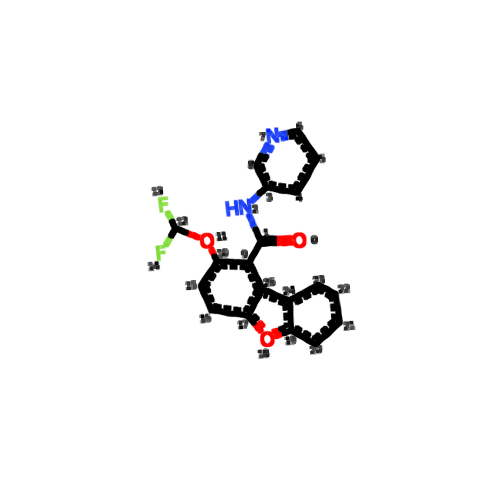 O=C(Nc1cccnc1)c1c(OC(F)F)ccc2oc3ccccc3c12